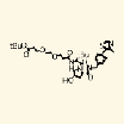 Cc1ncsc1-c1ccc(CNC(=O)[C@@H]2C[C@@H](O)CN2C(=O)[C@@H](NC(=O)CCOCCOCCC(=O)OC(C)(C)C)C(C)(C)C)cc1